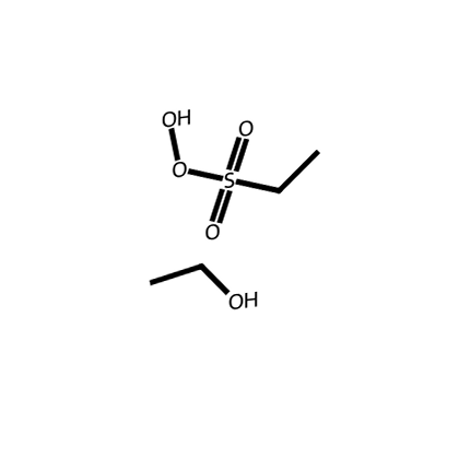 CCO.CCS(=O)(=O)OO